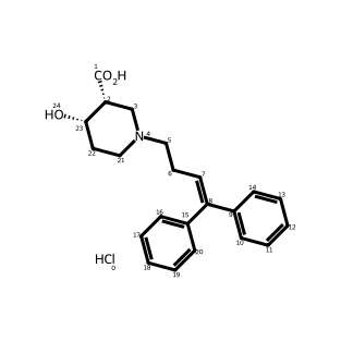 Cl.O=C(O)[C@@H]1CN(CCC=C(c2ccccc2)c2ccccc2)CC[C@@H]1O